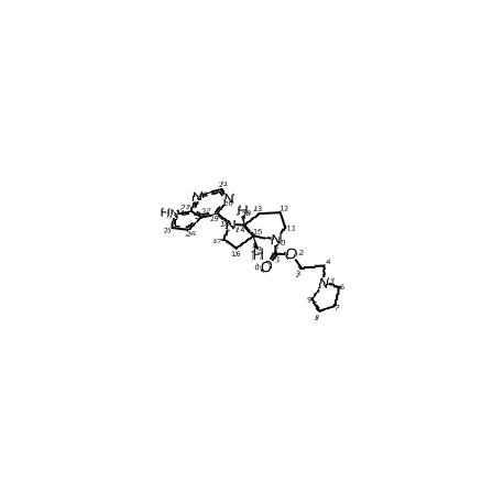 O=C(OCCN1CCCC1)N1CCC[C@@H]2[C@H]1CCN2c1ncnc2[nH]ccc12